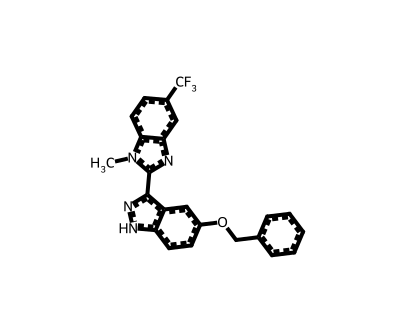 Cn1c(-c2n[nH]c3ccc(OCc4ccccc4)cc23)nc2cc(C(F)(F)F)ccc21